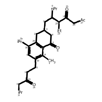 CCCC(CC1CC(=O)c2c(C)c(CCC(=O)CC(C)C)cc(C(C)C)c2C1)C(CC)C(=O)CC(C)=O